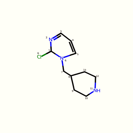 ClC1N=CC=CN1CC1CCNCC1